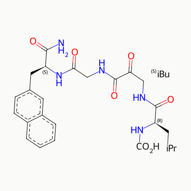 CC[C@H](C)C(NC(=O)[C@@H](CC(C)C)NC(=O)O)C(=O)C(=O)NCC(=O)N[C@@H](Cc1ccc2ccccc2c1)C(N)=O